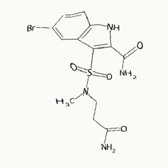 CN(CCC(N)=O)S(=O)(=O)c1c(C(N)=O)[nH]c2ccc(Br)cc12